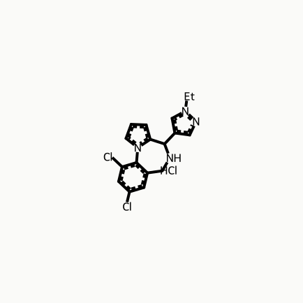 CCn1cc(C2NCc3cc(Cl)cc(Cl)c3-n3cccc32)cn1.Cl